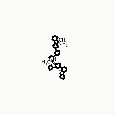 CN1C=CC(c2cccc(-c3ccc4c(c3)C(C)(C)c3ccccc3-4)c2)=NC1n1c2ccccc2c2cc(-c3cccc4c3sc3ccccc34)ccc21